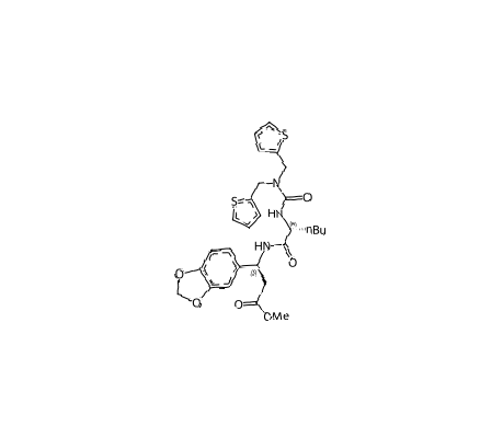 CCCC[C@@H](NC(=O)N(Cc1cccs1)Cc1cccs1)C(=O)N[C@@H](CC(=O)OC)c1ccc2c(c1)OCO2